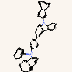 c1ccc(N(c2ccc(-c3ccc4c(c3)c3ccccc3n4-c3ccc4ccccc4c3)cc2)c2cccc3ccccc23)cc1